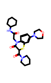 O=C(CN1C(=O)C(C(=O)N2CCCCC2)Sc2cc(N3CCOCC3)ccc21)NC1CCCCC1